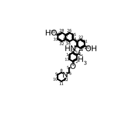 Cc1cc(OCCN2CCCCC2)ccc1Nc1cc(O)ccc1-c1ccc2cc(O)ccc2c1